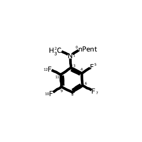 CCCCCN(C)c1c(F)c(F)[c]c(F)c1F